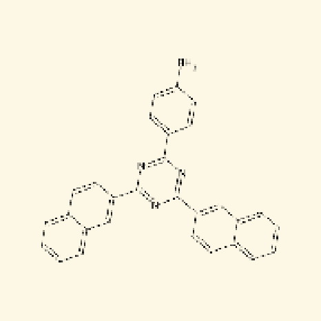 Bc1ccc(-c2nc(-c3ccc4ccccc4c3)nc(-c3ccc4ccccc4c3)n2)cc1